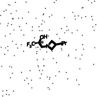 CC(C)C1CN(C[C@H](O)C(F)(F)F)C1